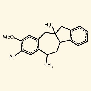 COc1cc2c(cc1C(C)=O)C(C)CC1c3ccccc3CC1(C)C2